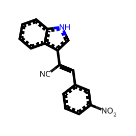 N#C/C(=C\c1cccc([N+](=O)[O-])c1)c1c[nH]c2ccccc12